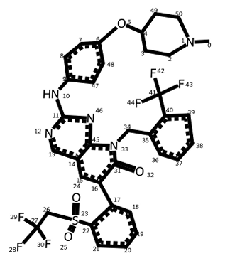 CN1CCC(Oc2ccc(Nc3ncc4cc(-c5ccccc5S(=O)(=O)CC(F)(F)F)c(=O)n(Cc5ccccc5C(F)(F)F)c4n3)cc2)CC1